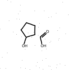 O=CO.OC1CCCC1